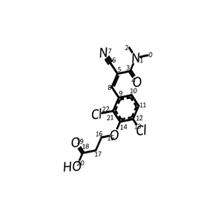 CN(C)C(=O)C(C#N)=Cc1ccc(Cl)c(OCCC(=O)O)c1Cl